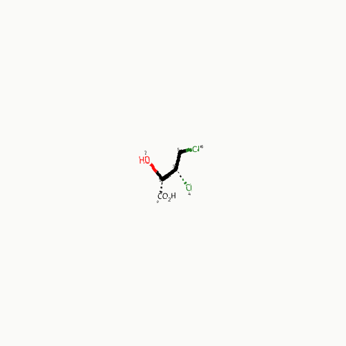 O=C(O)[C@H](O)[C@@H](Cl)CCl